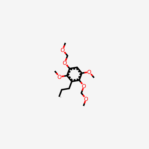 [CH2]CCc1c(OC)c(OCOC)cc(OC)c1OCOC